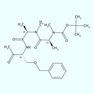 CC(=O)[C@@H](COCc1ccccc1)NC(=O)[C@@H](C)N(C)C(=O)[C@H](C)N(C)C(=O)OC(C)(C)C